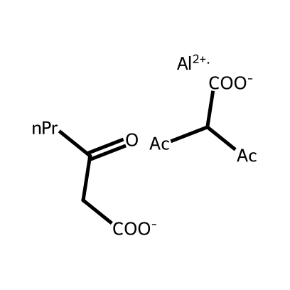 CC(=O)C(C(C)=O)C(=O)[O-].CCCC(=O)CC(=O)[O-].[Al+2]